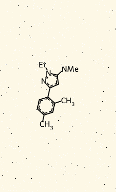 CCn1nc(-c2ccc(C)cc2C)cc1NC